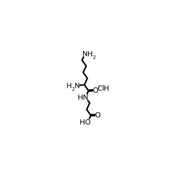 Cl.NCCCCC(N)C(=O)NCCC(=O)O